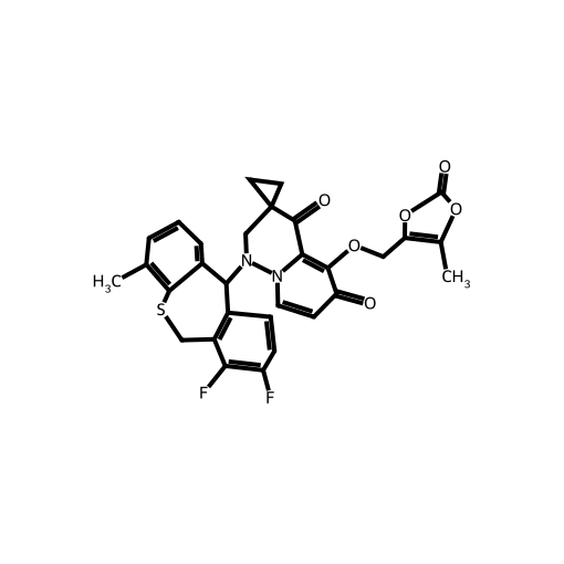 Cc1cccc2c1SCc1c(ccc(F)c1F)C2N1CC2(CC2)C(=O)c2c(OCc3oc(=O)oc3C)c(=O)ccn21